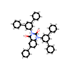 O=c1c2cc(-c3ccccc3)ccc2n(-c2cc(-c3ccccc3)cc(-c3ccccc3)c2)c(=O)n1-c1cc(-c2ccccc2)cc(-c2ccccc2)c1